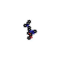 c1ccc2cc3c(cc2c1)c1ccccc1n3-c1ccc2cc3c(cc2c1)c1ccccc1n3-c1nc2ccccc2nc1-c1ccc2c(c1)oc1ccccc12